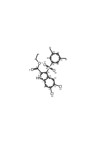 CCOC(=O)c1[nH]c2cc(Cl)c(Cl)cc2c1S(=O)(=O)c1cc(C)cc(C)c1